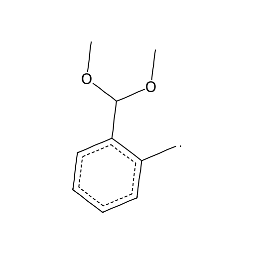 [CH2]c1ccccc1C(OC)OC